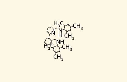 Cc1cc(C)c(NCc2cccc(-c3ccccc3CNc3c(C)cc(C)cc3C)n2)c(C)c1